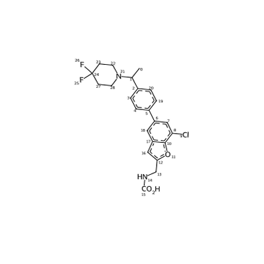 CC(c1ccc(-c2cc(Cl)c3oc(CNC(=O)O)cc3c2)cc1)N1CCC(F)(F)CC1